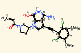 C=CC(=O)N1CCC(n2cc(C#Cc3c(Cl)c(OC)cc(OC)c3Cl)c3c(N)nnc(O)c32)C1